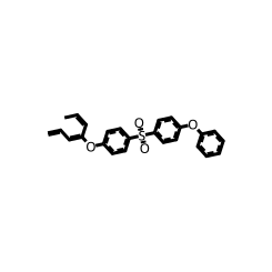 C=C/C=C(\C=C/C)Oc1ccc(S(=O)(=O)c2ccc(Oc3ccccc3)cc2)cc1